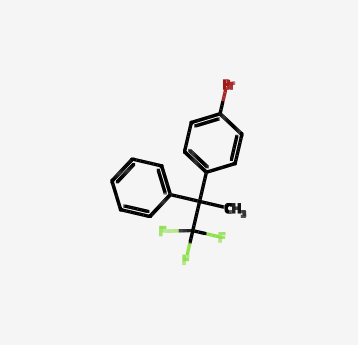 CC(c1ccccc1)(c1ccc(Br)cc1)C(F)(F)F